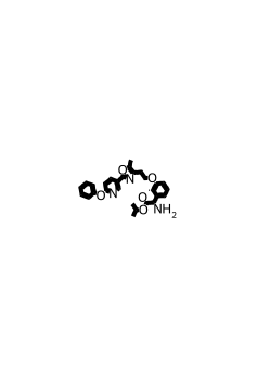 Cc1oc(-c2ccc(Oc3ccccc3)nc2)nc1CCOc1[c]c(C(N)C(=O)OC(C)C)ccc1